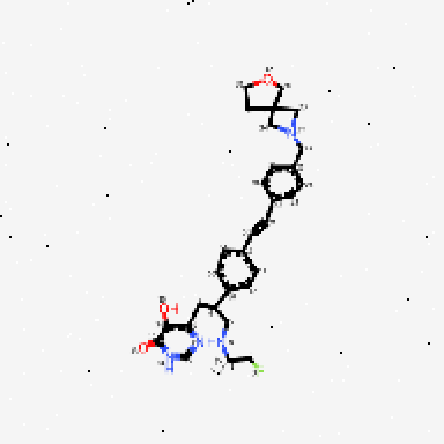 C[C@@H](CF)NCC(Cc1nc[nH]c(=O)c1O)c1ccc(C#Cc2ccc(CN3CC4(CCOC4)C3)cc2)cc1